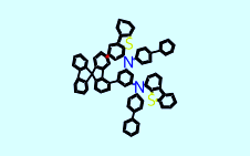 c1ccc(-c2ccc(N(c3cc(-c4cccc5c4-c4ccccc4C54c5ccccc5-c5ccccc54)cc(N(c4ccc(-c5ccccc5)cc4)c4cccc5c4sc4ccccc45)c3)c3cccc4c3sc3ccccc34)cc2)cc1